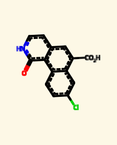 O=C(O)c1cc2cc[nH]c(=O)c2c2ccc(Cl)cc12